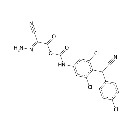 N#CC(=NN)C(=O)OC(=O)Nc1cc(Cl)c(C(C#N)c2ccc(Cl)cc2)c(Cl)c1